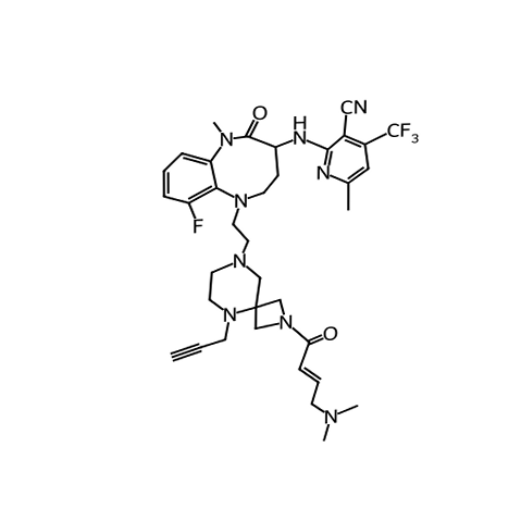 C#CCN1CCN(CCN2CCC(Nc3nc(C)cc(C(F)(F)F)c3C#N)C(=O)N(C)c3cccc(F)c32)CC12CN(C(=O)C=CCN(C)C)C2